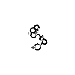 c1cnc2c(c1)CC[C@@H]1CCCN(Cc3cn4c(N5CCCNCC5)cccc4n3)[C@H]21